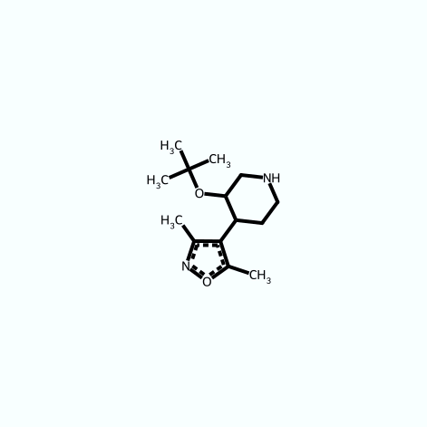 Cc1noc(C)c1C1CCNCC1OC(C)(C)C